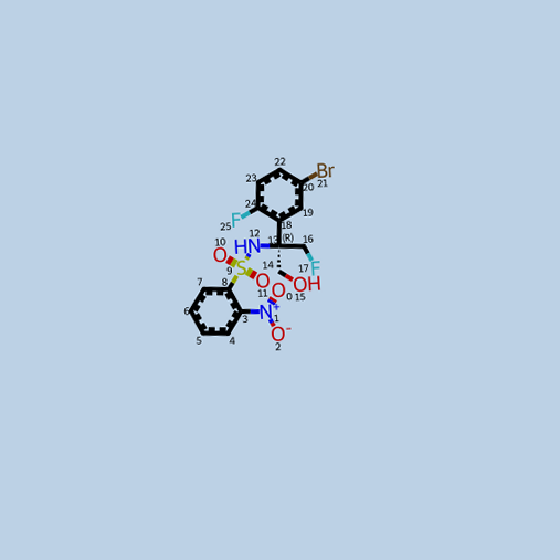 O=[N+]([O-])c1ccccc1S(=O)(=O)N[C@](CO)(CF)c1cc(Br)ccc1F